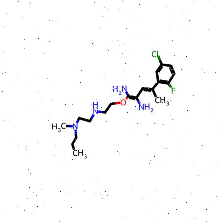 CCCN(C)CCNCCO/C(N)=C(N)/C=C(\C)c1cc(Cl)ccc1F